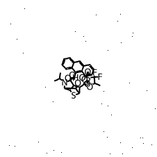 CC(C)N1C(=O)C2C3SC(C(OC(=O)c4c5ccccc5cc5ccccc45)C31)C2C(=O)OC(C)C(F)(F)S(=O)(=O)O